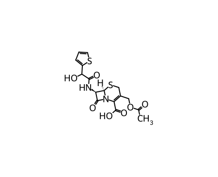 CC(=O)OCC1=C(C(=O)O)N2C(=O)[C@@H](NC(=O)C(O)c3cccs3)[C@H]2SC1